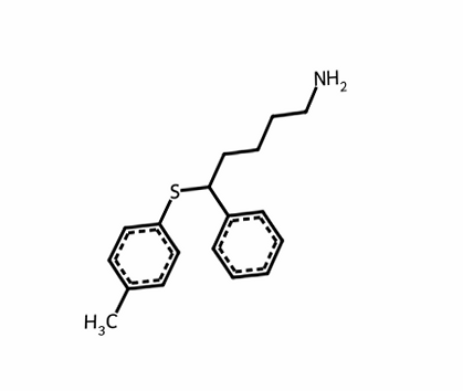 Cc1ccc(SC(CCCCN)c2ccccc2)cc1